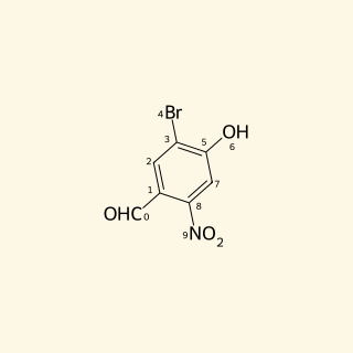 O=Cc1cc(Br)c(O)cc1[N+](=O)[O-]